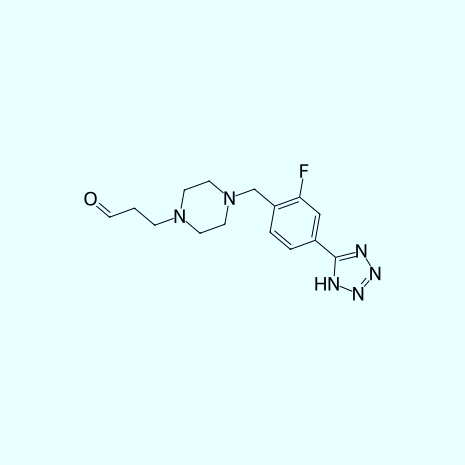 O=CCCN1CCN(Cc2ccc(-c3nnn[nH]3)cc2F)CC1